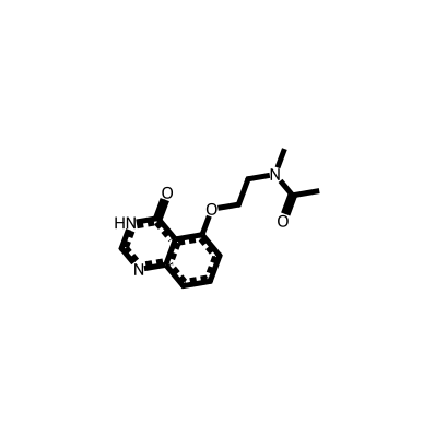 CC(=O)N(C)CCOc1cccc2nc[nH]c(=O)c12